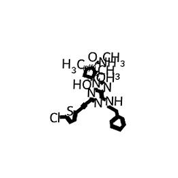 CNC(=O)[C@H]1[C@H](C)C[C@@](O)(n2cnc3c(NCCc4ccccc4)nc(C#Cc4ccc(Cl)s4)nc32)[C@@]1(C)O